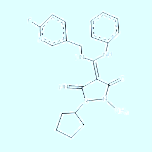 CN1C(=S)/C(=C(/NCc2ccc(F)nc2)Nc2ccccc2)C(=N)N1C1CCCC1